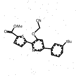 COC(=O)c1ccc(-c2ncc(-c3cccc(C(C)(C)C)c3)cc2OCC#N)s1